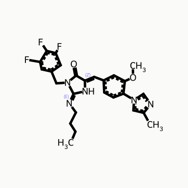 CCCC/N=C1\N/C(=C\c2ccc(-n3cnc(C)c3)c(OC)c2)C(=O)N1Cc1cc(F)c(F)c(F)c1